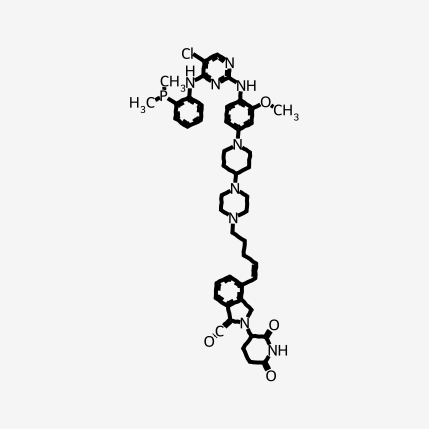 COc1cc(N2CCC(N3CCN(CCC/C=C\c4cccc5c4CN(C4CCC(=O)NC4=O)C5=C=O)CC3)CC2)ccc1Nc1ncc(Cl)c(Nc2ccccc2P(C)C)n1